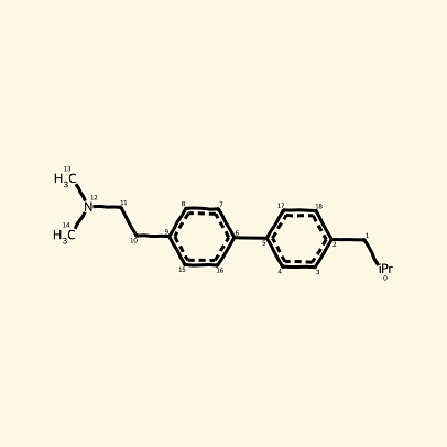 CC(C)Cc1ccc(-c2ccc(CCN(C)C)cc2)cc1